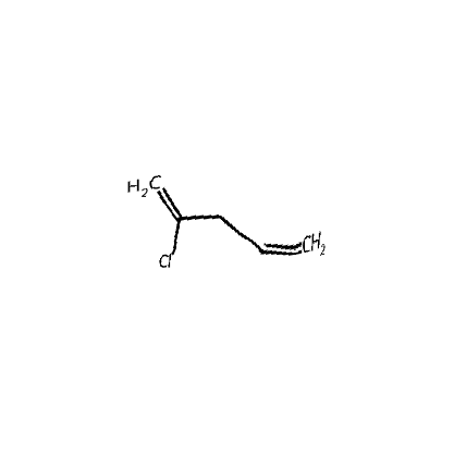 C=CCC(=C)Cl